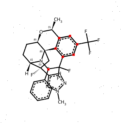 C[C@H](O[C@@H]1CC[C@@H]2N(Cc3ccccc3)[C@@]1(c1ccccc1)C[C@@]2(F)c1nnn(C)n1)c1cc(C(F)(F)F)cc(C(F)(F)F)c1